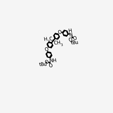 CC(C)(C)OC(=O)Nc1ccc(Oc2ccc(C(C)(C)c3ccc(Oc4ccc(NC(=O)OC(C)(C)C)cc4)cc3)cc2)cc1